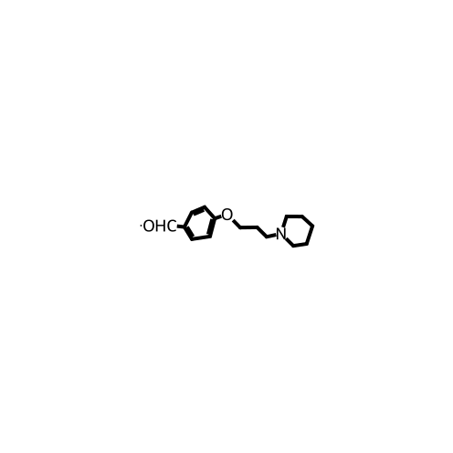 O=[C]c1ccc(OCCCN2CCCCC2)cc1